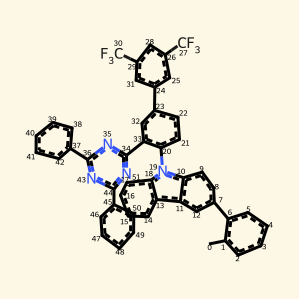 Cc1ccccc1-c1ccc2c(c1)c1ccccc1n2-c1ccc(-c2cc(C(F)(F)F)cc(C(F)(F)F)c2)cc1-c1nc(-c2ccccc2)nc(-c2ccccc2)n1